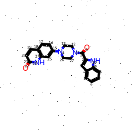 O=C(c1cc2ccccc2[nH]1)N1CCN(c2ccc3ccc(=O)[nH]c3c2)CC1